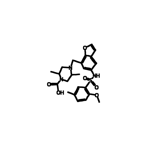 COc1ccc(C)cc1S(=O)(=O)Nc1cc(CN2CC(C)N(C(=O)O)CC2C)c2occc2c1